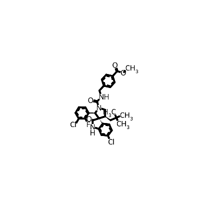 COC(=O)c1ccc(CNC(=O)N2C[C@@H](CC(C)(C)C)[C@@]3(C(=O)Nc4cc(Cl)ccc43)[C@H]2c2cccc(Cl)c2F)cc1